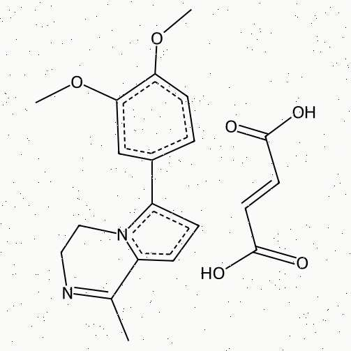 COc1ccc(-c2ccc3n2CCN=C3C)cc1OC.O=C(O)/C=C/C(=O)O